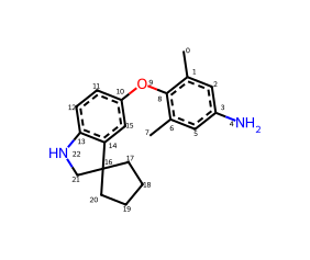 Cc1cc(N)cc(C)c1Oc1ccc2c(c1)C1(CCCC1)CN2